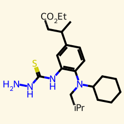 CCOC(=O)CC(C)c1ccc(N(CC(C)C)C2CCCCC2)c(NC(=S)NN)c1